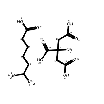 NC(N)CCCCC(=O)O.O=C(O)CC(O)(CC(=O)O)C(=O)O